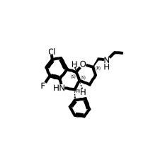 CCNC[C@H]1CC[C@@H]2[C@H](O1)c1cc(Cl)cc(F)c1N[C@H]2c1ccccc1